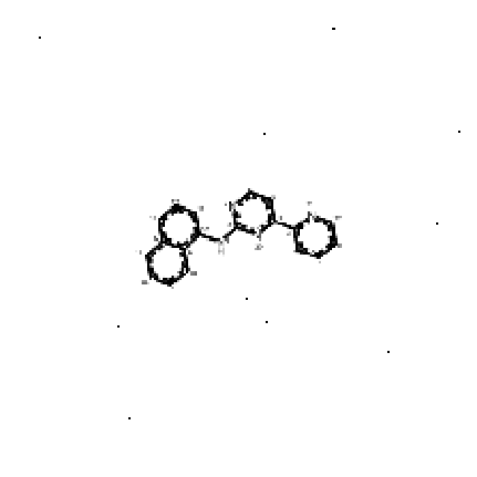 c1ccc(-c2ccnc(Nc3cccc4ccccc34)n2)nc1